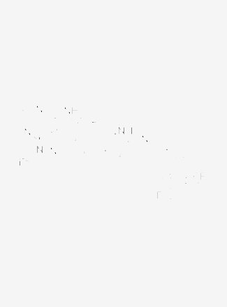 CC(C)n1nc(-c2ccc(NC(=O)Nc3ccc(C(F)(C(F)(F)F)C(F)(F)F)cc3)cc2)c2c(N)ncnc21